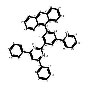 c1ccc(-c2cc(-c3ccccc3)nc(-c3cc(-c4ccccn4)cc(-c4c5ccccc5cc5ccccc45)c3)n2)cc1